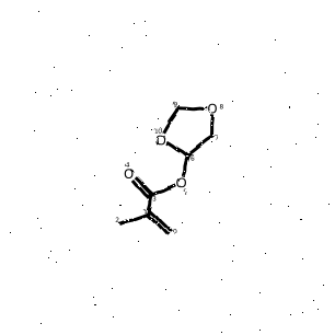 C=C(C)C(=O)OC1COCO1